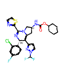 O=C(N[C@H]1CC2=C(c3ccn(C(F)F)n3)[C@H](c3ccc(F)cc3Cl)N=C(c3nccs3)N2C1)OC1CCCCC1